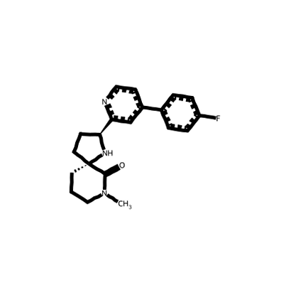 CN1CCC[C@@]2(CC[C@@H](c3cc(-c4ccc(F)cc4)ccn3)N2)C1=O